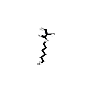 N#C/C=C(/C#N)C(=O)OCCCCCCO